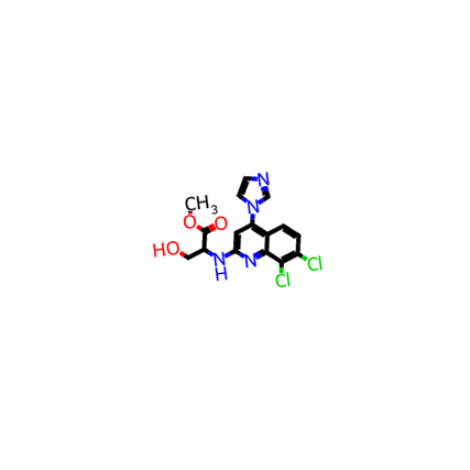 COC(=O)C(CO)Nc1cc(-n2ccnc2)c2ccc(Cl)c(Cl)c2n1